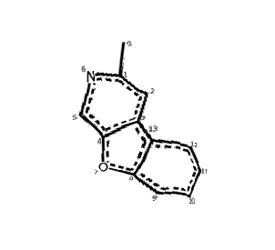 Cc1cc2c(cn1)oc1ccccc12